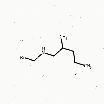 CCCC(C)CNCBr